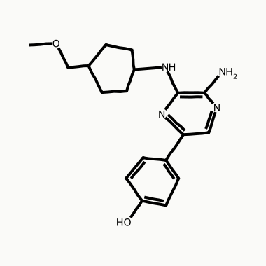 COCC1CCC(Nc2nc(-c3ccc(O)cc3)cnc2N)CC1